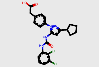 O=C(O)Cc1ccc(-n2nc(C3CCCC3)cc2NC(=O)Nc2cccc(Cl)c2Cl)cc1